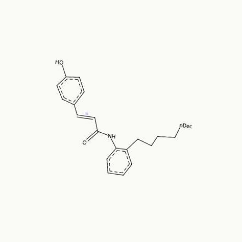 CCCCCCCCCCCCCCc1ccccc1NC(=O)/C=C/c1ccc(O)cc1